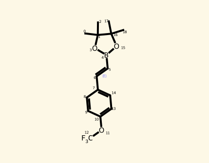 CC1(C)OB(/C=C/c2ccc(OC(F)(F)F)cc2)OC1(C)C